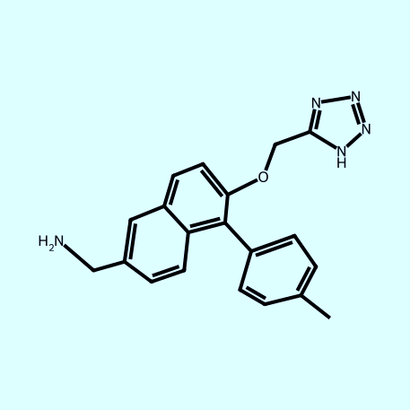 Cc1ccc(-c2c(OCc3nnn[nH]3)ccc3cc(CN)ccc23)cc1